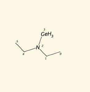 CC[N]([GeH3])CC